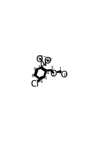 O=COCc1cc(Cl)ccc1[N+](=O)[O-]